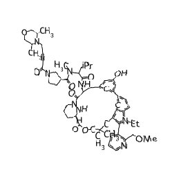 CCn1c(-c2cccnc2COC)c2c3cc(ccc31)-c1cc(O)cc(c1)C[C@H](NC(=O)C(C(C)C)N(C)C(=O)[C@H]1CCN(C(=O)C#CCN3[C@@H](C)COC[C@@H]3C)C1)C(=O)N1CCC[C@H](N1)C(=O)OCC(C)(C)C2